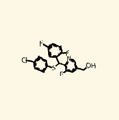 OCc1cnc(C(Sc2ccc(Cl)cc2)c2cc(F)ccc2F)c(F)c1